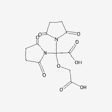 O=C(O)COC(C(=O)O)(N1C(=O)CCC1=O)N1C(=O)CCC1=O